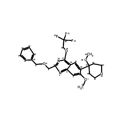 COc1cc2nc(COCc3ccccc3)nc(OCC(F)(F)F)c2cc1C1(OC)CCOCC1